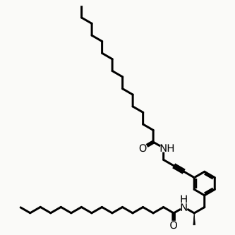 CCCCCCCCCCCCCCCC(=O)NCC#Cc1cccc(C[C@@H](C)NC(=O)CCCCCCCCCCCCCCC)c1